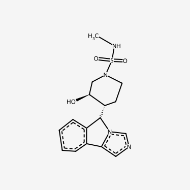 CNS(=O)(=O)N1CC[C@H](C2c3ccccc3-c3cncn32)[C@@H](O)C1